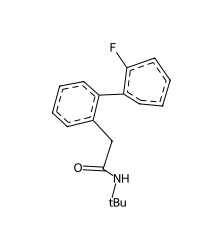 CC(C)(C)NC(=O)Cc1ccccc1-c1ccccc1F